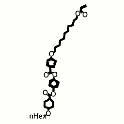 C=CC(=O)OCCCCCCCCCCCOc1ccc(C(=O)Oc2ccc(OC(=O)C3CCC(OCCCCCC)CC3)cc2)cc1